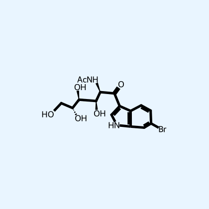 CC(=O)N[C@@H](C(=O)c1c[nH]c2cc(Br)ccc12)[C@@H](O)[C@H](O)[C@H](O)CO